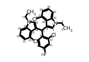 CCn1cc(C(c2ccc(F)cc2Cl)c2cn(CC)c3cccc(Cl)c23)c2c(Cl)cccc21